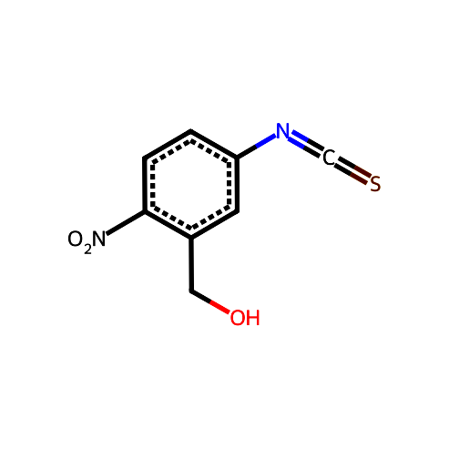 O=[N+]([O-])c1ccc(N=C=S)cc1CO